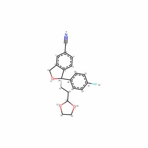 N#Cc1ccc2c(c1)CO[C@]2(CCC1OCCO1)c1ccc(F)cc1